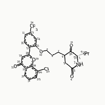 CC(C)[C@@H]1NC(=O)CC(CCCOc2cc(C(F)(F)F)ccc2-c2cc(=O)c3cccc(Cl)c3o2)C1=O